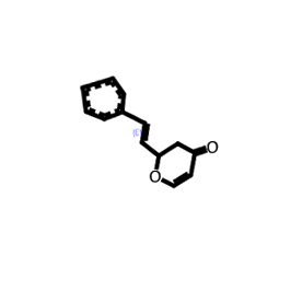 O=C1C=COC(/C=C/c2ccccc2)C1